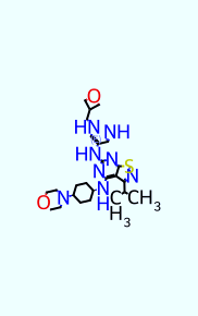 CC(C)c1nsc2nc(N/C(C=N)=C/NCC3COC3)nc(N[C@H]3CC[C@H](N4CCOCC4)CC3)c12